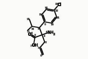 C=CCC(N)(C(=O)O)C(c1ccc(Cl)cc1)C(C)C